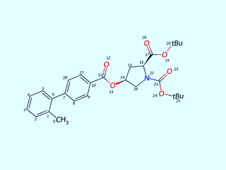 Cc1ccccc1-c1ccc(C(=O)O[C@H]2C[C@@H](C(=O)OC(C)(C)C)N(C(=O)OC(C)(C)C)C2)cc1